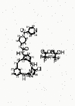 O=C(CC1CCN(C(=O)c2ccncc2)CC1)Nc1ccc2cc1CCc1cccc(c1)Nc1ncc(Cl)c(n1)N2.O=C(O)C(F)(F)F.O=C(O)C(F)(F)F